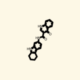 O=C(Nc1ccc2c3c([nH]c2c1)CCCC3)c1c[nH]c2ccccc2c1=O